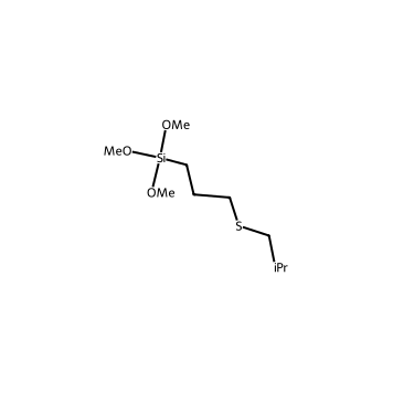 CO[Si](CCCSCC(C)C)(OC)OC